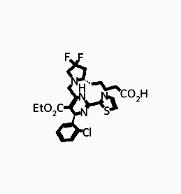 CCOC(=O)C1=C(CN2CC(F)(F)C[C@@H]2CCCCC(=O)O)NC(c2nccs2)=N[C@H]1c1ccccc1Cl